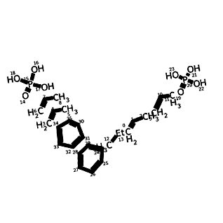 C=CC.C=CC.C=CC.C=CC.CCC.O=P(O)(O)O.O=P(O)(O)O.c1ccccc1.c1ccccc1